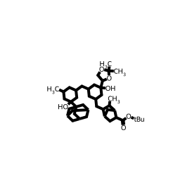 CC1CC(CC2CC(CC3C4CC(C(=O)OC(C)(C)C)C(C4)C3C)CC(O)(C3COC(C)(C)O3)C2)CC(O)(C23CC4CC(CC(C4)C2)C3)C1